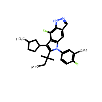 COCC(C)(C)c1c(C2CCC(C(=O)O)C2)c2c(F)c3[nH]ncc3cc2n1-c1ccc(F)c(OC)c1